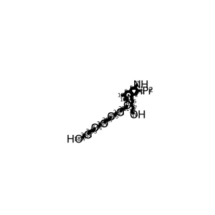 CC(C)c1cc2c(cc1N)CC(C)C(C)(C)N2CC(CCO)OCCOCCOCCOCCOCCOCCO